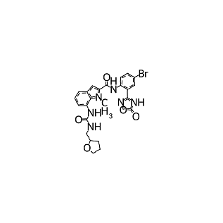 Cn1c(C(=O)Nc2ccc(Br)cc2-c2noc(=O)[nH]2)cc2cccc(NC(=O)NCC3CCCO3)c21